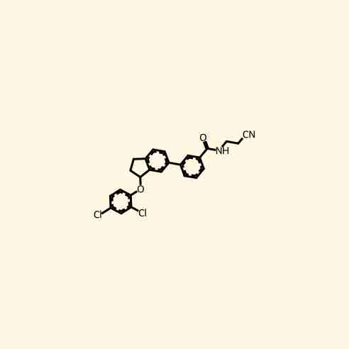 N#CCCNC(=O)c1cccc(-c2ccc3c(c2)C(Oc2ccc(Cl)cc2Cl)CC3)c1